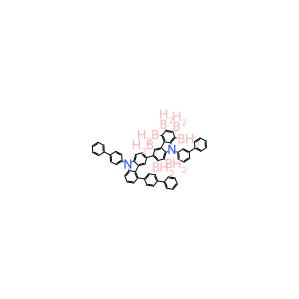 Bc1c(B)c(B)c2c(c1B)c1c(B)c(-c3ccc4c(c3)c3c(-c5ccc(-c6ccccc6)cc5)cccc3n4-c3ccc(-c4ccccc4)cc3)c(B)c(B)c1n2-c1cccc(-c2ccccc2)c1